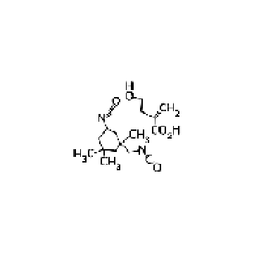 C=C(CCO)C(=O)O.CC1(C)CC(N=C=O)CC(C)(CN=C=O)C1